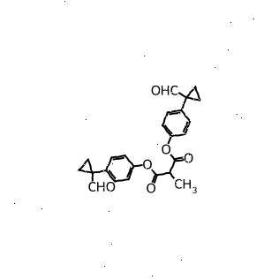 CC(C(=O)Oc1ccc(C2(C=O)CC2)cc1)C(=O)Oc1ccc(C2(C=O)CC2)cc1